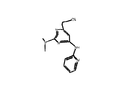 CN(C)c1nc(CC#N)cc(Nc2ccccn2)n1